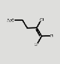 CC(=O)OCCC(O)=C(Cl)Cl